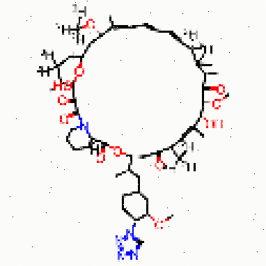 [2H]C([2H])([2H])O[C@H]1C[C@@H]2CC([2H])([2H])[C@@H](C)[C@@](O)(O2)C(=O)C(=O)N2CCCC[C@H]2C(=O)O[C@H]([C@H](C)C[C@@H]2CC[C@H](n3cnnn3)[C@H](OC)C2)CC(=O)[C@H](C([2H])([2H])[2H])/C=C(\C)[C@@H](O)[C@@H](OC)C(=O)[C@H](C)C([2H])(C)[C@]([2H])(C)/C=C/C=C/C=C/1C